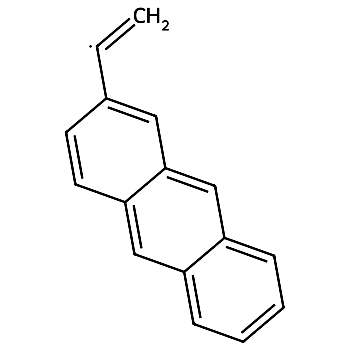 C=[C]c1ccc2cc3ccccc3cc2c1